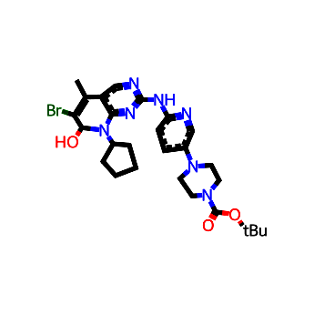 CC1=C(Br)C(O)N(C2CCCC2)c2nc(Nc3ccc(N4CCN(C(=O)OC(C)(C)C)CC4)cn3)ncc21